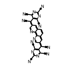 N#C/C(c1c(C#N)nc(C#N)nc1C#N)=c1\cnc2c(ccc3c/c(=C(\C#N)c4c(C#N)nc(C#N)nc4C#N)cnc32)c1